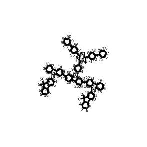 CC1(C)c2ccccc2-c2ccc(-n3c4ccccc4c4ccc(-c5ccc6c7ccc(-c8ccc9c%10ccccc%10n(-c%10ccc%11c(c%10)C(C)(C)c%10ccccc%10-%11)c9c8)cc7n(-c7ccc(-c8nc(-c9ccc(-c%10ccccc%10)cc9)nc(-c9ccc(-c%10ccccc%10)cc9)n8)cc7)c6c5)cc43)cc21